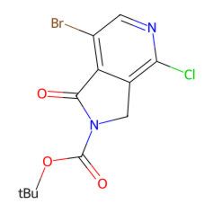 CC(C)(C)OC(=O)N1Cc2c(Cl)ncc(Br)c2C1=O